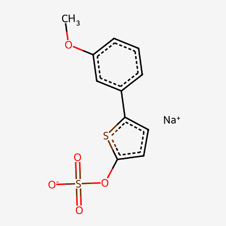 COc1cccc(-c2ccc(OS(=O)(=O)[O-])s2)c1.[Na+]